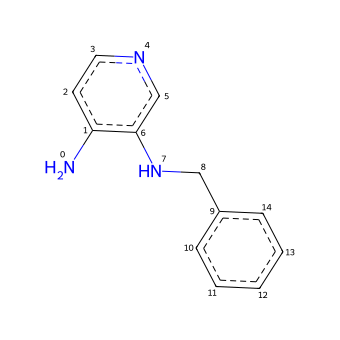 Nc1ccncc1NCc1ccccc1